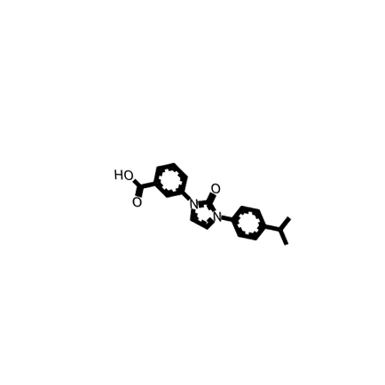 CC(C)c1ccc(-n2ccn(-c3cccc(C(=O)O)c3)c2=O)cc1